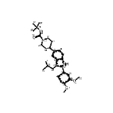 COc1ccc(-c2[nH]c3ccc(C4CCN(C(=O)OC(C)(C)C)CC4)cc3c2CC(C)C)cc1OC